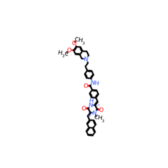 COc1cc2c(cc1OC)CN(CCc1ccc(NC(=O)c3ccc(/C=c4\[nH]c(=O)/c(=C/c5ccc6ccccc6c5)n(C)c4=O)cc3)cc1)CC2